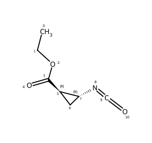 CCOC(=O)[C@@H]1C[C@H]1N=C=O